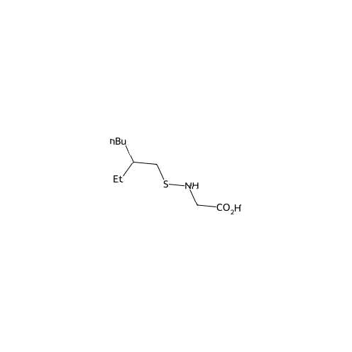 CCCCC(CC)CSNCC(=O)O